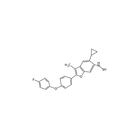 Cc1c(-c2ccc(Oc3ccc(F)cc3)cc2)oc2cc(NS)c(C3CC3)cc12